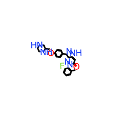 Cc1cccc(F)c1-n1nc2c(-c3ccc(OCC4CNCCN4)cc3)n[nH]c2cc1=O